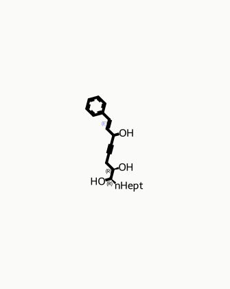 CCCCCCC[C@@H](O)[C@H](O)CC#CC(O)/C=C/c1ccccc1